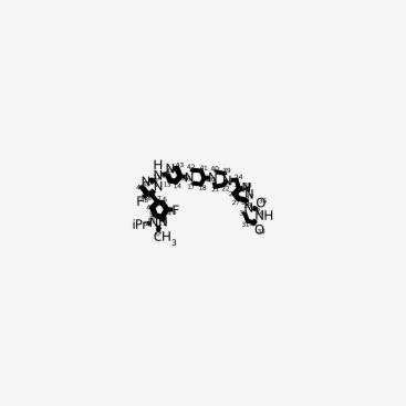 Cc1nc2c(F)cc(-c3nc(Nc4ccc(N5CCC(N6CCN(Cc7ccc(N8CCC(=O)NC8=O)nn7)CC6)CC5)cn4)ncc3F)cc2n1C(C)C